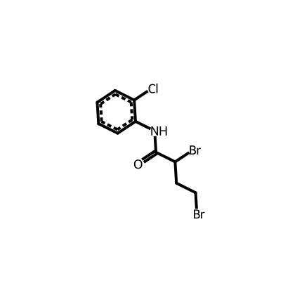 O=C(Nc1ccccc1Cl)C(Br)CCBr